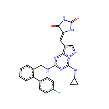 O=C1NC(=O)/C(=C/c2cnn3c(NC4CC4)nc(NCc4ccccc4-c4ccc(F)cc4)nc23)N1